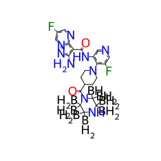 BC1(B)NC(B)(B)C(B)(B)N(C(=O)C2CCN(c3c(F)cncc3NC(=O)c3c(N)nn4cc(F)cnc34)CC2)C1(B)B